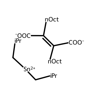 CC(C)[CH2][Sn+2][CH2]C(C)C.CCCCCCCCC(C(=O)[O-])=C(CCCCCCCC)C(=O)[O-]